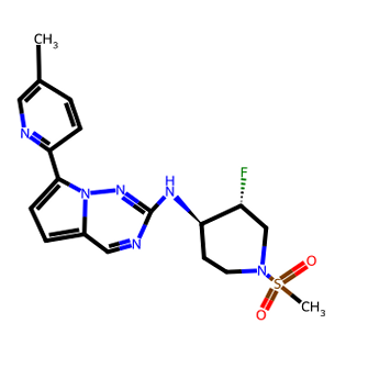 Cc1ccc(-c2ccc3cnc(N[C@@H]4CCN(S(C)(=O)=O)C[C@H]4F)nn23)nc1